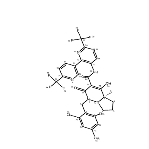 C[C@]12CCCN1N(Cc1c(Cl)cc(O)cc1Cl)C(=O)C(C(=O)Nc1cnc(C(F)(F)F)nc1-c1ccc(C(F)(F)F)nc1)=C2O